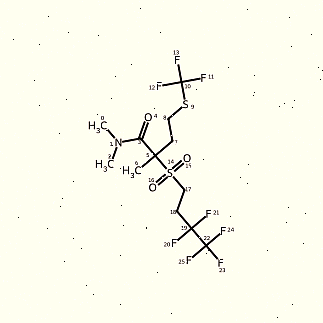 CN(C)C(=O)C(C)(CCSC(F)(F)F)S(=O)(=O)CCC(F)(F)C(F)(F)F